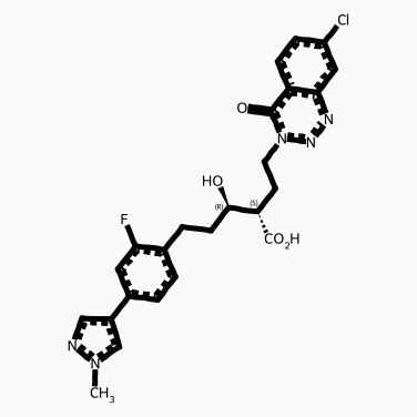 Cn1cc(-c2ccc(CC[C@@H](O)[C@H](CCn3nnc4cc(Cl)ccc4c3=O)C(=O)O)c(F)c2)cn1